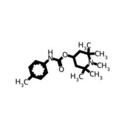 Cc1ccc(NC(=O)OC2CC(C)(C)N(C)C(C)(C)C2)cc1